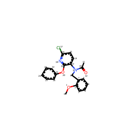 COc1ccccc1CN(C(C)=O)c1ccc(Cl)nc1Oc1ccccc1